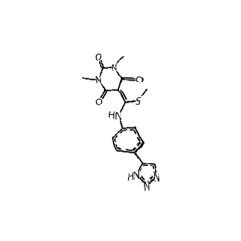 CSC(Nc1ccc(-c2cnn[nH]2)cc1)=C1C(=O)N(C)C(=O)N(C)C1=O